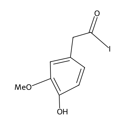 COc1cc(CC(=O)I)ccc1O